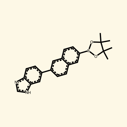 CC1(C)OB(c2ccc3cc(-c4ccc5nc[nH]c5c4)ccc3c2)OC1(C)C